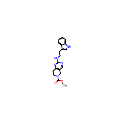 CC(C)(C)OC(=O)N1CCc2nc(NCCc3c[nH]c4ccccc34)ncc2C1